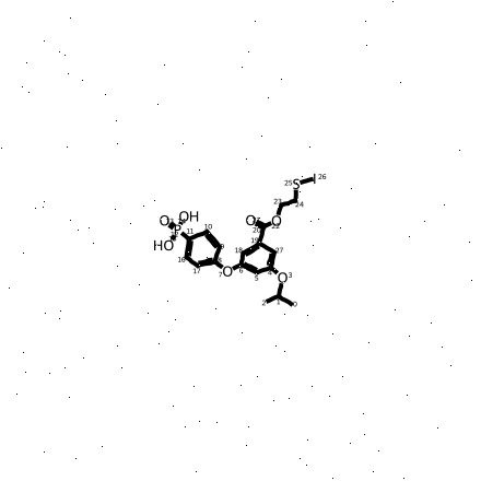 CC(C)Oc1cc(Oc2ccc(P(=O)(O)O)cc2)cc(C(=O)OCCSI)c1